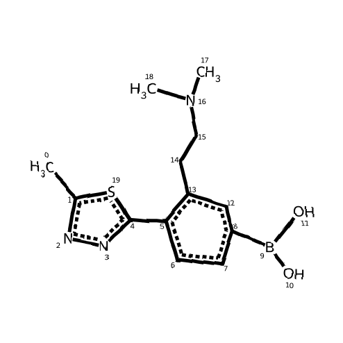 Cc1nnc(-c2ccc(B(O)O)cc2CCN(C)C)s1